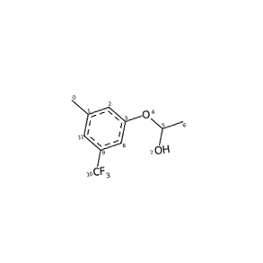 Cc1cc(OC(C)O)cc(C(F)(F)F)c1